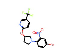 O=[N+]([O-])c1cc(Br)ccc1N1CCC(Oc2ccc(C(F)(F)F)cn2)C1